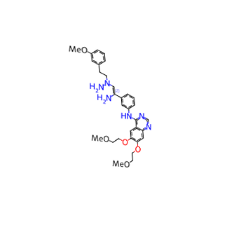 COCCOc1cc2ncnc(Nc3cccc(/C(N)=C/N(N)CCc4cccc(OC)c4)c3)c2cc1OCCOC